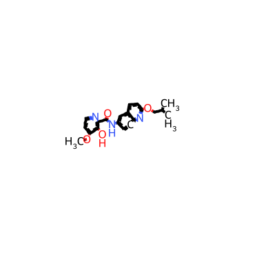 COc1ccnc(C(=O)Nc2ccc3nc(OCC(C)C)ccc3c2)c1O